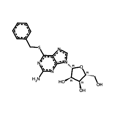 Nc1nc(SCc2ccccc2)c2ncn([C@@H]3O[C@H](CO)[C@@H](O)[C@H]3O)c2n1